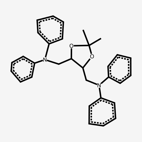 CC1(C)OC(CN(c2ccccc2)c2ccccc2)C(CN(c2ccccc2)c2ccccc2)O1